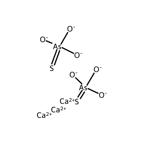 [Ca+2].[Ca+2].[Ca+2].[O-][As]([O-])([O-])=S.[O-][As]([O-])([O-])=S